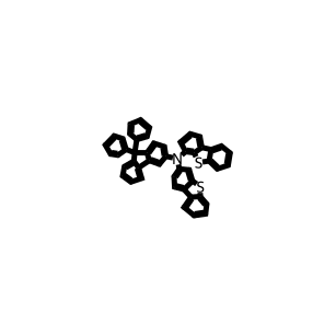 c1ccc(C2(c3ccccc3)c3ccccc3-c3cc(N(c4ccc5c(c4)sc4ccccc45)c4cccc5c4sc4ccccc45)ccc32)cc1